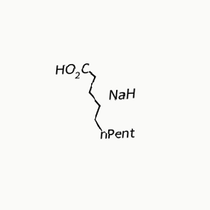 CCCCCCCCCC(=O)O.[NaH]